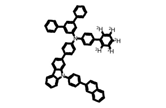 [2H]c1c([2H])c([2H])c(-c2ccc(N(c3ccc(-c4ccc5c6ccccc6n(-c6ccc(-c7ccc8ccccc8c7)cc6)c5c4)cc3)c3cc(-c4ccccc4)cc(-c4ccccc4)c3)cc2)c([2H])c1[2H]